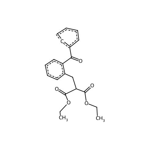 CCOC(=O)C(Cc1ccccc1C(=O)c1ccccc1)C(=O)OCC